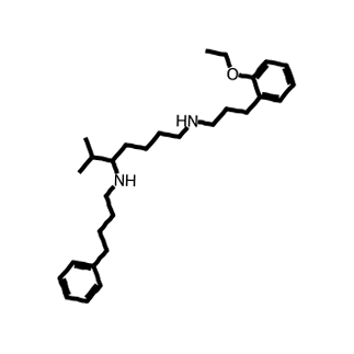 CCOc1ccccc1CCCNCCCCC(NCCCCc1ccccc1)C(C)C